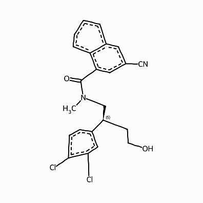 CN(C[C@@H](CCO)c1ccc(Cl)c(Cl)c1)C(=O)c1cc(C#N)cc2ccccc12